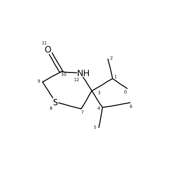 CC(C)C1(C(C)C)CSCC(=O)N1